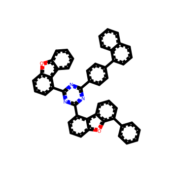 c1ccc(-c2cccc3c2oc2cccc(-c4nc(-c5ccc(-c6cccc7ccccc67)cc5)nc(-c5cccc6oc7ccccc7c56)n4)c23)cc1